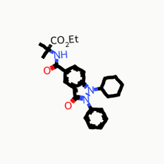 CCOC(=O)C(C)(C)NC(=O)c1ccc2c(c1)c(=O)n(-c1ccccc1)n2C1CCCCC1